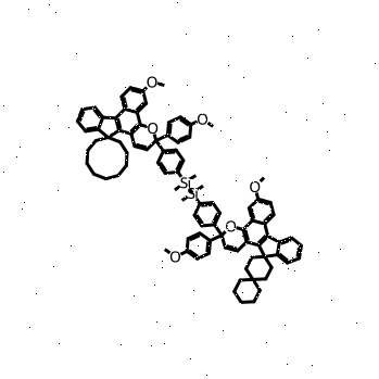 COc1ccc(C2(c3ccc([Si](C)(C)[Si](C)(C)c4ccc(C5(c6ccc(OC)cc6)C=Cc6c7c(c8ccc(OC)cc8c6O5)-c5ccccc5C75CCC6(CCCCC6)CC5)cc4)cc3)C=Cc3c4c(c5ccc(OC)cc5c3O2)-c2ccccc2C42CCCCCCCCC2)cc1